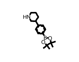 CC1(C)OB(c2ccc(C3CCCNC3)cc2)OC1(C)C